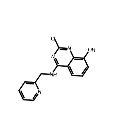 Oc1cccc2c(NCc3ccccn3)nc(Cl)nc12